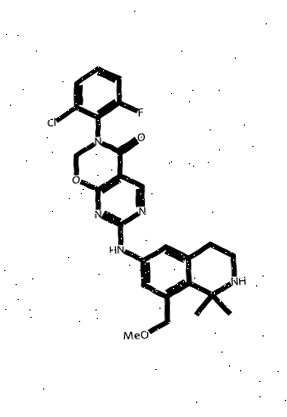 COCc1cc(Nc2ncc3c(n2)OCN(c2c(F)cccc2Cl)C3=O)cc2c1C(C)(C)NCC2